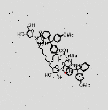 COc1ccc(C(NC2=NC(=O)N([C@H]3C[C@H](O)[C@@H](CO)O3)CN2CCCCCN(CC[C@H](NC(=O)OC(C)(C)C)C(=O)O)C[C@H]2O[C@@H](n3cnc4c(NC(c5ccccc5)(c5ccccc5)c5ccc(OC)cc5)ncnc43)[C@H](O)[C@@H]2O)(c2ccccc2)c2ccccc2)cc1